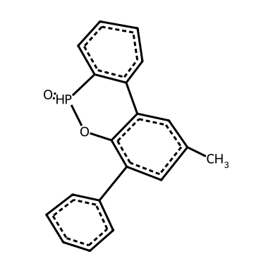 Cc1cc(-c2ccccc2)c2c(c1)-c1ccccc1[PH](=O)O2